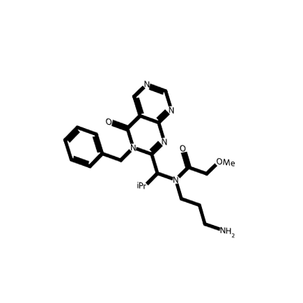 COCC(=O)N(CCCN)C(c1nc2ncncc2c(=O)n1Cc1ccccc1)C(C)C